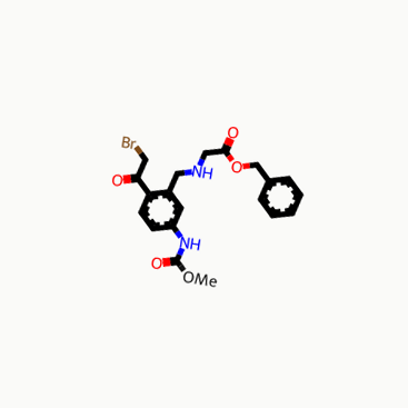 COC(=O)Nc1ccc(C(=O)CBr)c(CNCC(=O)OCc2ccccc2)c1